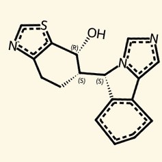 O[C@H]1c2scnc2CC[C@H]1[C@H]1c2ccccc2-c2cncn21